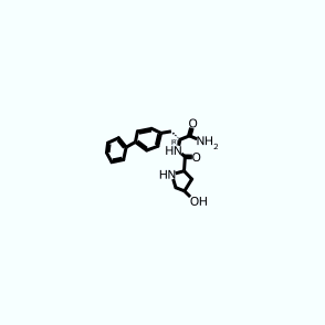 NC(=O)[C@@H](Cc1ccc(-c2ccccc2)cc1)NC(=O)C1CC(O)CN1